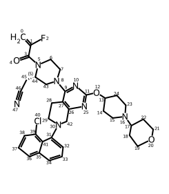 C=C(F)C(=O)N1CCN(c2nc(OC3CCN(C4CCOCC4)CC3)nc3c2CCN(c2cccc4cccc(Cl)c24)C3)C[C@@H]1CC#N